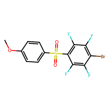 COc1ccc(S(=O)(=O)c2c(F)c(F)c(Br)c(F)c2F)cc1